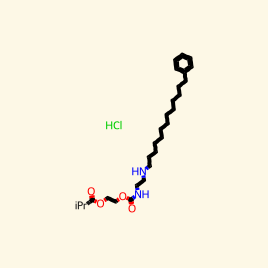 CC(C)C(=O)OCCOC(=O)NCCNCCCCCCCCCCCCCc1ccccc1.Cl